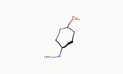 CCC[N]C1CCC(O)CC1